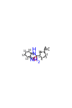 CC(=O)c1cccc(C(=O)Nc2ccccc2N)c1